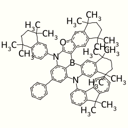 CC1(C)CCC(C)(C)c2cc(N3c4cc(-c5ccccc5)cc5c4B(c4cc6c(cc4N5c4cccc5c4-c4ccccc4C5(C)C)C(C)(C)CCC6(C)C)c4c3oc3cc5c(cc43)C(C)(C)CCC5(C)C)ccc21